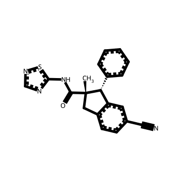 C[C@]1(C(=O)Nc2ncns2)Cc2ccc(C#N)cc2[C@H]1c1ccccc1